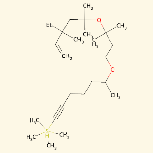 C=CC(C)(CC)CC(C)(C)OC(C)(C)CCOC(C)CCCC#C[SH](C)(C)(C)C